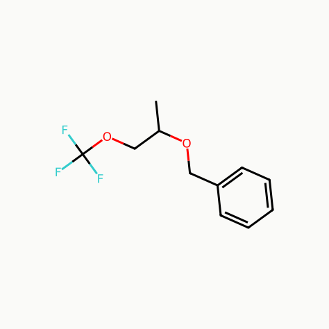 CC(COC(F)(F)F)OCc1ccccc1